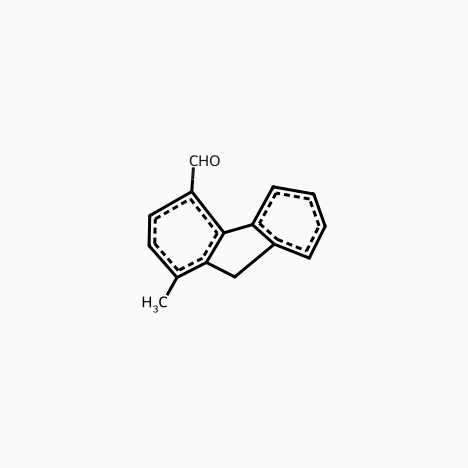 Cc1ccc(C=O)c2c1Cc1ccccc1-2